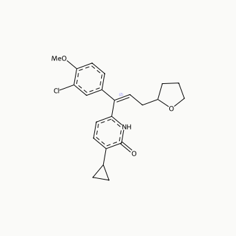 COc1ccc(/C(=C/CC2CCCO2)c2ccc(C3CC3)c(=O)[nH]2)cc1Cl